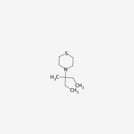 CCC(C)(CC)N1CCSCC1